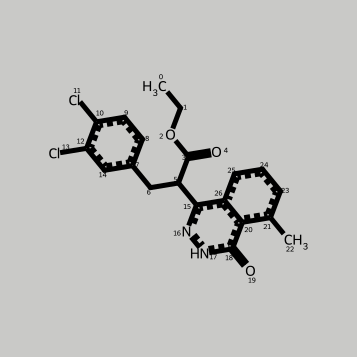 CCOC(=O)C(Cc1ccc(Cl)c(Cl)c1)c1n[nH]c(=O)c2c(C)cccc12